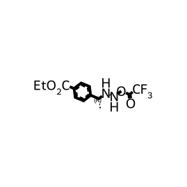 CCOC(=O)c1ccc([C@@H](C)NNOC(=O)C(F)(F)F)cc1